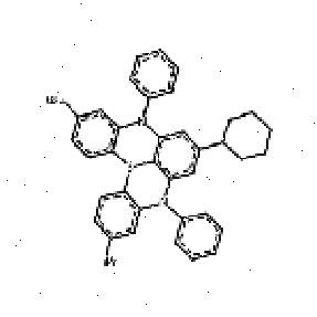 CC(C)c1ccc2c(c1)N(c1ccccc1)c1cc(C3CCCCC3)cc3c1B2c1ccc(C(C)(C)C)cc1N3c1ccccc1